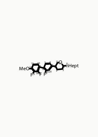 CCCCCCCC1CCC(c2ccc(-c3ccc(OC)c(F)c3F)c(F)c2)CO1